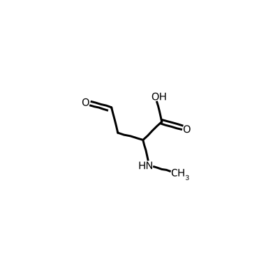 CNC(CC=O)C(=O)O